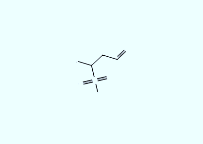 C=CCC([SiH3])S(=O)(=O)O